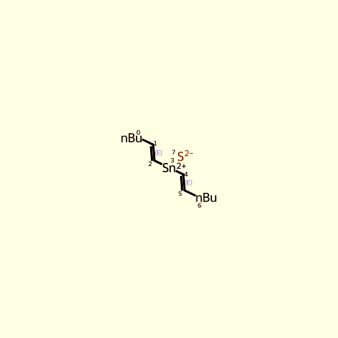 CCCC/C=[CH]/[Sn+2]/[CH]=C/CCCC.[S-2]